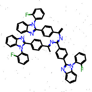 C=C(/N=C(\N=C(/C)c1ccc(-c2nc3ccccc3n2-c2ccccc2F)cc1)c1ccc(-c2nc3ccccc3n2-c2ccccc2F)cc1)c1ccc(-c2nc3ccccc3n2-c2ccccc2F)cc1